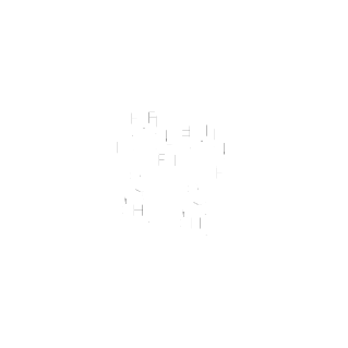 C=CC(=O)OCC1C(F)(F)C(F)(F)C(F)(F)C(F)(F)C1(F)F.C=CC(=O)OCC1C(F)(F)C(F)(F)C(F)(F)C(F)(F)C1(F)F